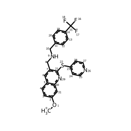 COc1ccc2cc(CNCc3ccc(C(F)(F)F)cc3)c(Sc3ccncc3)nc2c1